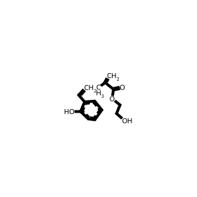 C=C(C)C(=O)OCCO.C=Cc1ccccc1O